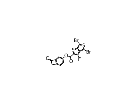 O=C1Cc2ccc(OC(=O)c3sc4c(Br)sc(Br)c4c3F)cc21